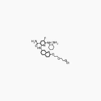 CCOCCOCCOc1ccc2ccc(Nc3nc(NC4CCCCC4N)c(F)cc3C(N)=O)cc2n1